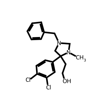 CN1CN(Cc2ccccc2)CC1(CCO)c1ccc(Cl)c(Cl)c1